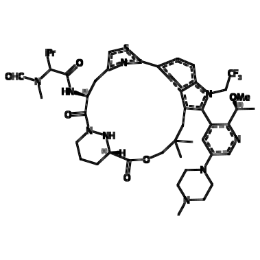 CO[C@@H](C)c1ncc(N2CCN(C)CC2)cc1-c1c2c3cc(ccc3n1CC(F)(F)F)-c1nc(cs1)C[C@H](NC(=O)C(C(C)C)N(C)C=O)C(=O)N1CCC[C@H](N1)C(=O)OCC(C)(C)C2